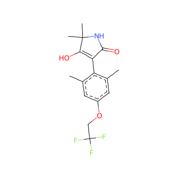 Cc1cc(OCC(F)(F)F)cc(C)c1C1=C(O)C(C)(C)NC1=O